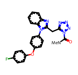 CNC(=O)n1nnnc1Cc1nc2ccccc2n1-c1ccc(Oc2ccc(F)cc2)cc1